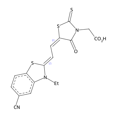 CCN1/C(=C/C=C2/SC(=S)N(CC(=O)O)C2=O)Sc2ccc(C#N)cc21